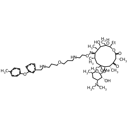 CC[C@H]1OC(=O)[C@H](C)C(=O)[C@H](C)[C@@H](O[C@@H]2O[C@H](C)C[C@H](N(C)C)[C@H]2O)[C@@](C)(OC)C[C@@H](C)/C(=N\OCCNCCCOCCCNCc2cccc(Oc3ccc(C)cc3)c2)[C@@H](C)[C@@H](O)[C@]1(C)O